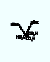 CCCCCCCCCCCCCCCCCCc1c(C(=O)O)cc(C(=O)O)c(C(=O)O)c1CCCCCCCCCCCCCCCCCC